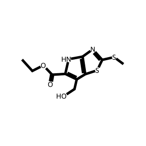 CCOC(=O)c1[nH]c2nc(SC)sc2c1CO